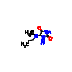 CCCN(C)C1NC(=O)NC1=O